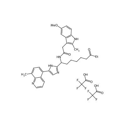 CCC(=O)CCCCCC(NC(=O)Cc1c(C)[nH]c2ccc(OC)cc12)c1ncc(-c2ccc(C)c3ncccc23)[nH]1.O=C(O)C(F)(F)F.O=C(O)C(F)(F)F